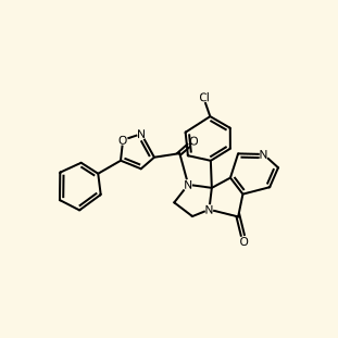 O=C(c1cc(-c2ccccc2)on1)N1CCN2C(=O)c3ccncc3C12c1ccc(Cl)cc1